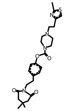 Cc1nc(CCN2CCN(C(=O)Oc3ccc(CCN4C(=O)CC(C)(C)CC4=O)cc3)CC2)cs1